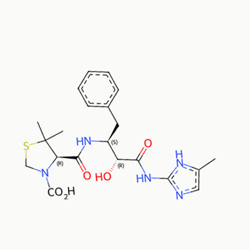 Cc1cnc(NC(=O)[C@H](O)[C@H](Cc2ccccc2)NC(=O)[C@H]2N(C(=O)O)CSC2(C)C)[nH]1